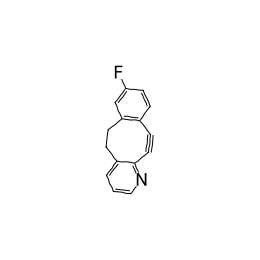 Fc1ccc2c(c1)CCc1cccnc1C#C2